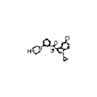 O=S(=O)(c1cccc(N2CCNCC2)c1)c1cn(C2CC2)c2ccc(Cl)cc12